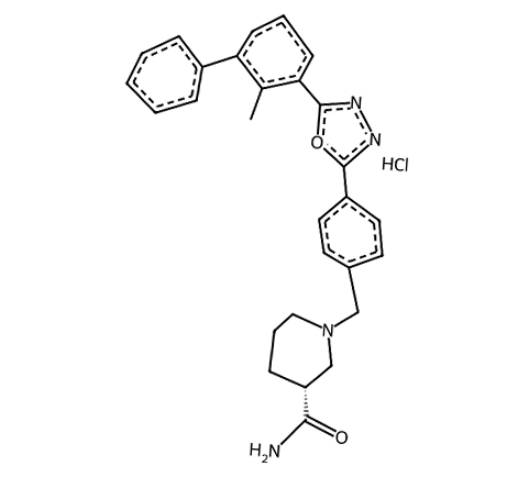 Cc1c(-c2ccccc2)cccc1-c1nnc(-c2ccc(CN3CCC[C@@H](C(N)=O)C3)cc2)o1.Cl